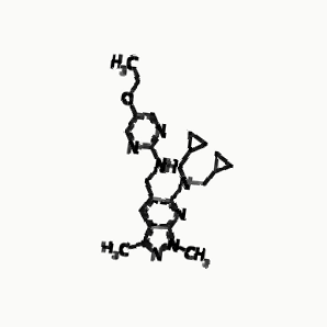 CCOc1cnc(NCc2cc3c(C)nn(C)c3nc2N(CC2CC2)CC2CC2)nc1